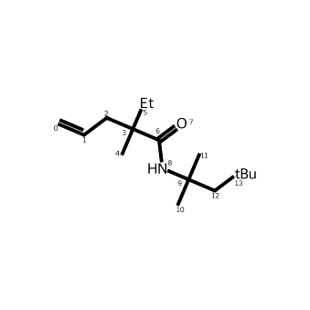 C=CCC(C)(CC)C(=O)NC(C)(C)CC(C)(C)C